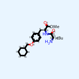 COC(=O)[C@H](Cc1ccc(OCC2CCCCC2)cc1)NC(=O)[C@@H](N)C(C)(C)C